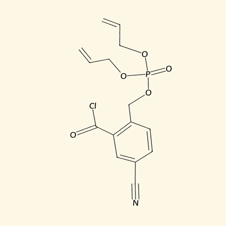 C=CCOP(=O)(OCC=C)OCc1ccc(C#N)cc1C(=O)Cl